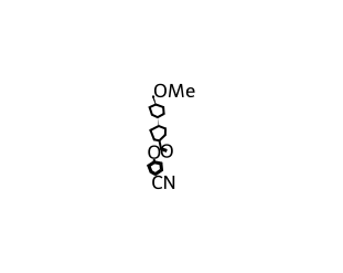 COC[C@H]1CC[C@H](C2CCC(C(=O)Oc3ccc(C#N)cc3)CC2)CC1